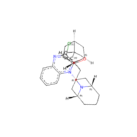 CC1(C)[C@H]2CC[C@@H](CCN3[C@@H]4CCC[C@H]3C[C@@H](n3c(=O)c(Cl)nc5ccccc53)C4)[C@@H]1C2